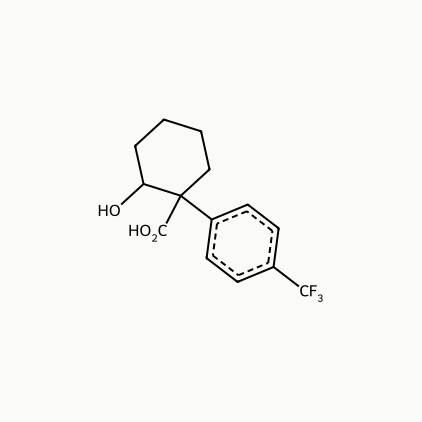 O=C(O)C1(c2ccc(C(F)(F)F)cc2)CCCCC1O